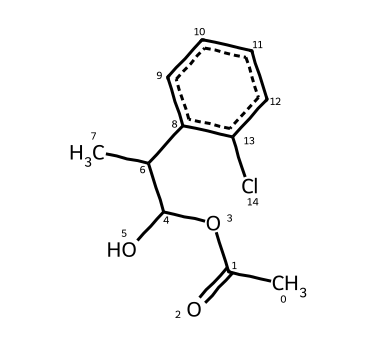 CC(=O)OC(O)C(C)c1ccccc1Cl